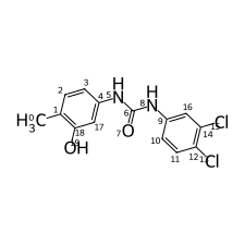 Cc1ccc(NC(=O)Nc2ccc(Cl)c(Cl)c2)cc1O